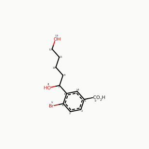 O=C(O)c1ccc(Br)c(C(O)CCCCO)c1